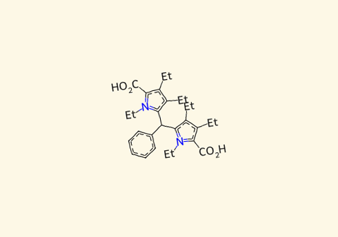 CCc1c(CC)c(C(c2ccccc2)c2c(CC)c(CC)c(C(=O)O)n2CC)n(CC)c1C(=O)O